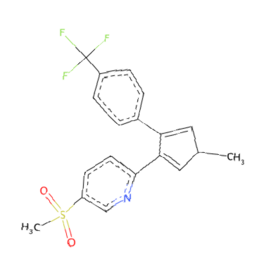 CC1C=C(c2ccc(C(F)(F)F)cc2)C(c2ccc(S(C)(=O)=O)cn2)=C1